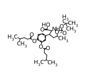 CC(C)CCC(=O)Oc1ccc(C(CC(C)OC(=O)OC(C)(C)C)[C@H](N)C(=O)O)cc1OC(=O)CCC(C)C